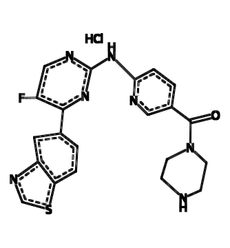 Cl.O=C(c1ccc(Nc2ncc(F)c(-c3ccc4scnc4c3)n2)nc1)N1CCNCC1